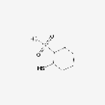 O=S(=O)(O)C1CCCCC1S